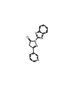 O=C1CC(c2cccnc2)=NN1c1nc2ccccc2s1